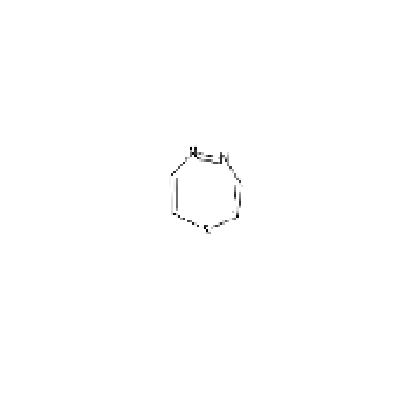 C1=CSC=CN=N1